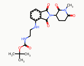 CN1C(=O)CCC(N2C(=O)c3cccc(NCCNC(=O)OC(C)(C)C)c3C2=O)C1=O